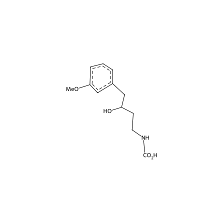 COc1cccc(CC(O)CCNC(=O)O)c1